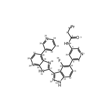 CC(C)CC(=O)Nc1cncc(-c2ccc3[nH]nc(-c4nc5c(-c6cccnc6)ccnc5[nH]4)c3c2F)c1